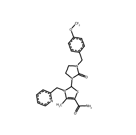 CC1=C(C(N)=O)SC(N2CCN(Cc3ccc(OC(F)(F)F)cc3)C2=O)N1Cc1ccccn1